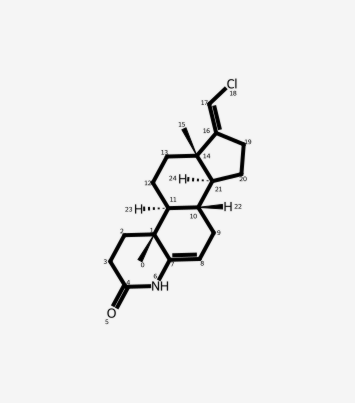 C[C@]12CCC(=O)NC1=CC[C@@H]1[C@@H]2CC[C@]2(C)C(=CCl)CC[C@@H]12